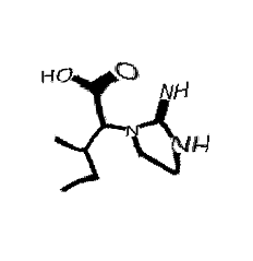 CCC(C)C(C(=O)O)N1CCNC1=N